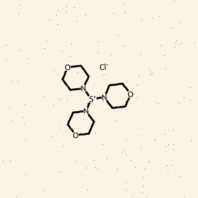 C1CN([S+](N2CCOCC2)N2CCOCC2)CCO1.[Cl-]